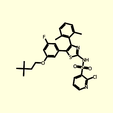 Cc1cccc(C)c1-c1nc(NS(=O)(=O)c2cccnc2Cl)sc1-c1cc(F)cc(OCCC(C)(C)C)c1